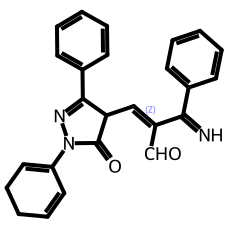 N=C(/C(C=O)=C/C1C(=O)N(C2=CCCC=C2)N=C1c1ccccc1)c1ccccc1